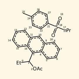 CCC(OC(C)=O)c1c2ccccc2cc2ccccc12.CCCS(=O)(=O)c1ccc(C)cc1